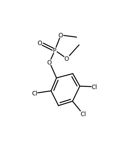 COP(=O)(OC)Oc1cc(Cl)c(Cl)cc1Cl